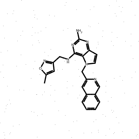 Cc1cc(CNc2nc(N)nc3ccn(Cc4cc5ccccc5cn4)c23)no1